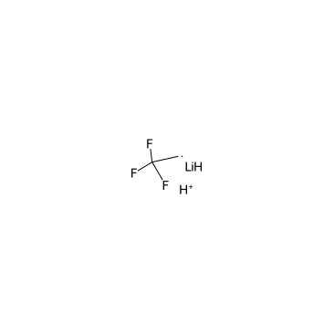 [CH2]C(F)(F)F.[H+].[LiH]